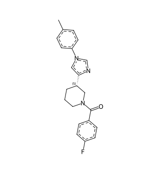 Cc1ccc(-n2cnc([C@H]3CCCN(C(=O)c4ccc(F)cc4)C3)c2)cc1